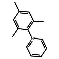 Cc1cc(C)c(-[n+]2ccccc2)c(C)c1